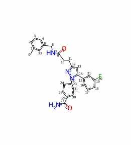 Cc1cccc(CNC(=O)CCc2cc(-c3cccc(F)c3)n(-c3ccc(C(N)=O)cc3)n2)c1